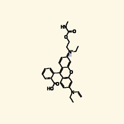 C=CN(CC)c1ccc2c(-c3ccccc3C(=O)O)c3cc/c(=[N+](/CC)CCOC(=O)NC)cc-3oc2c1